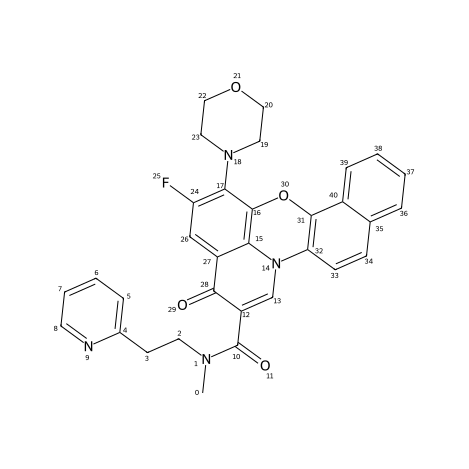 CN(CCc1ccccn1)C(=O)c1cn2c3c(c(N4CCOCC4)c(F)cc3c1=O)Oc1c-2ccc2ccccc12